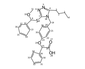 CCCCc1nnc(SC(OC)c2ccccc2)n1Cc1ccc(OC(C(=O)O)c2ccccc2)cc1